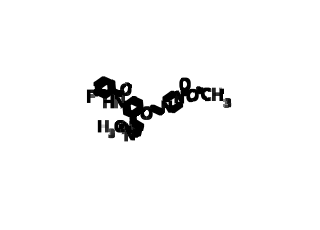 CCOC(=O)N1CCN(CCOc2ccc(NC(=O)c3cccc(F)c3)cc2-c2ccnn2C)CC1